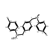 CCCN(Cc1ccc(CN(C)c2ccc(C)cc2)cc1)c1ccc(C)cc1